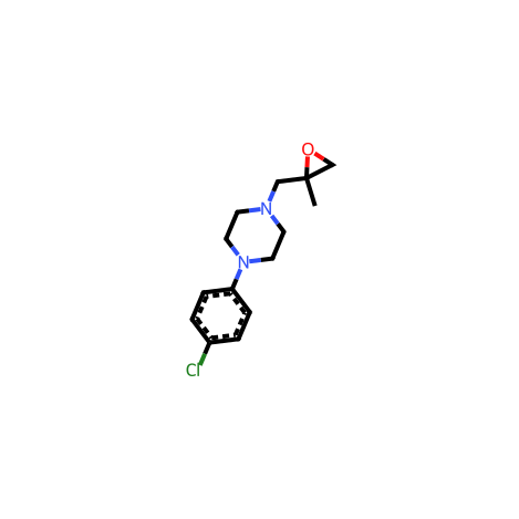 CC1(CN2CCN(c3ccc(Cl)cc3)CC2)CO1